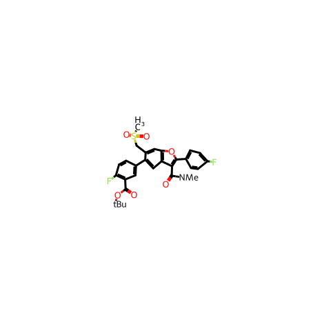 CNC(=O)c1c(-c2ccc(F)cc2)oc2cc(CS(C)(=O)=O)c(-c3ccc(F)c(C(=O)OC(C)(C)C)c3)cc12